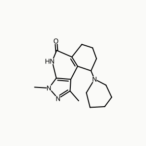 Cc1nn(C)c2[nH]c(=O)c3c(c12)C(N1CCCCC1)CCC3